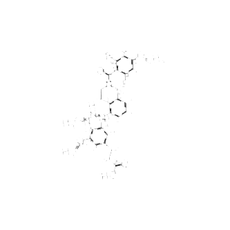 COc1cc(F)c(C(=O)N2CCc3c(cccc3N3NN(C)c4c(OC)cc(CCC(=O)O)cc43)C2)c(F)c1